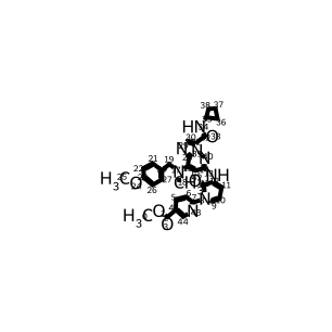 COC(=O)c1ccc(-n2cccc(Nc3cc(N(C)Cc4ccc(OC)cc4)c4ncc(C(=O)NC5CCC5)n4n3)c2=O)nc1